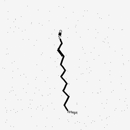 CCCCCCCCCCCCCCC=CC[S+]=O